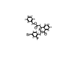 O=C(Cc1nn(Cc2ccc(Br)cc2F)c(=O)c2ccccc12)OCc1ccccc1